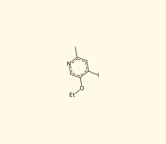 CCOc1cnc(C)cc1I